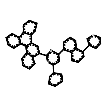 c1ccc(-c2cc(-c3cccc4c(-c5cccnc5)cccc34)nc(-c3cc4c5ccccc5c5ccccc5c4c4ccccc34)n2)cc1